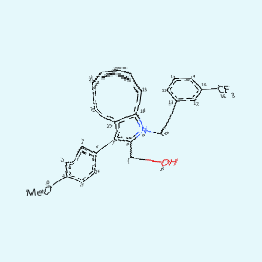 COc1ccc(-c2c(CO)n(Cc3cccc(C(F)(F)F)c3)c3ccccc23)cc1